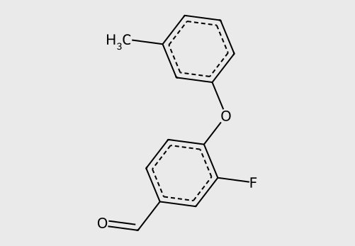 Cc1cccc(Oc2ccc(C=O)cc2F)c1